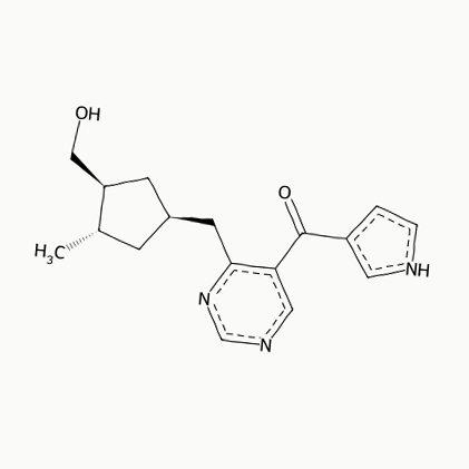 C[C@H]1C[C@H](Cc2ncncc2C(=O)c2cc[nH]c2)C[C@@H]1CO